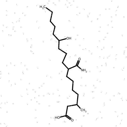 CCCCCC(O)CCCC(CCCCC(C)CC(=O)O)C(N)=O